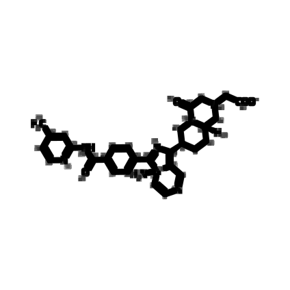 N[N+]12C=CN=CC1=C([C@@H]1CC[C@H]3CN(CC(=O)[O-])CC(=O)N3C1)N=C2c1ccc(C(=O)Nc2cc(C(F)(F)F)ccn2)cc1